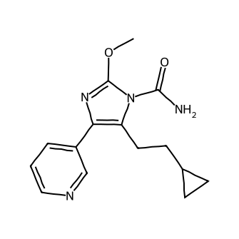 COc1nc(-c2cccnc2)c(CCC2CC2)n1C(N)=O